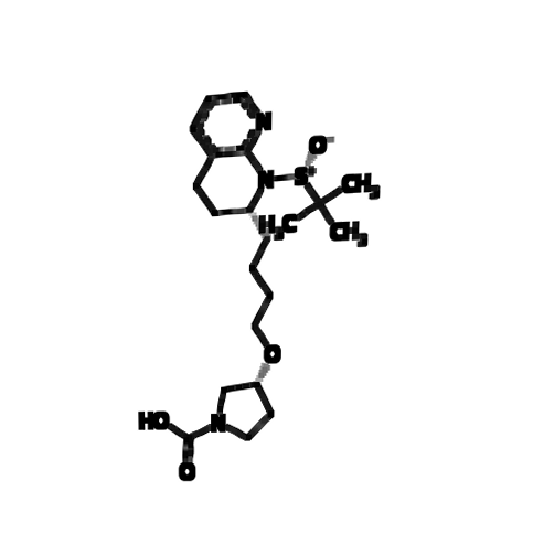 CC(C)(C)[S@@+]([O-])N1c2ncccc2CC[C@H]1CCCCO[C@@H]1CCN(C(=O)O)C1